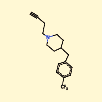 C#CCCN1CCC(Cc2ccc(C(F)(F)F)cc2)CC1